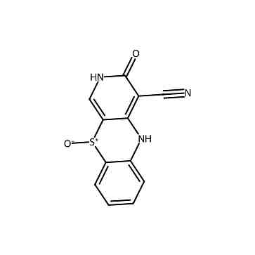 N#Cc1c2c(c[nH]c1=O)[S+]([O-])c1ccccc1N2